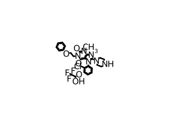 Cn1c(=O)n(CCOc2ccccc2)c(=O)c2c1nc(N1CCNCC1)n2-c1ccccc1Cl.O=C(O)C(F)(F)F